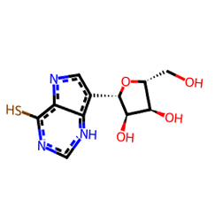 OC[C@H]1O[C@@H](c2cnc3c(S)nc[nH]c2-3)[C@H](O)[C@@H]1O